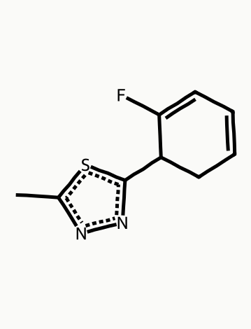 Cc1nnc(C2CC=CC=C2F)s1